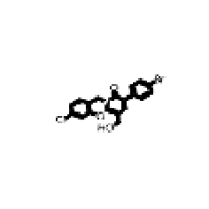 O=c1c(-c2ccc(Br)cc2)cc(CO)cn1Cc1ccc(Cl)cc1Cl